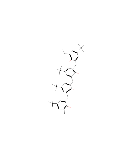 CCc1cc(C(C)(C)C)cc(Cc2cc(C(C)(C)C)cc(Cc3cc(C(C)(C)C)cc(Cc4cc(C(C)(C)C)cc(C)c4O)c3O)c2O)c1O